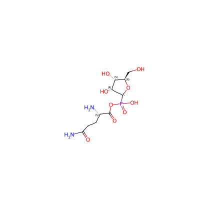 NC(=O)CC[C@H](N)C(=O)OP(=O)(O)[C]1O[C@H](CO)[C@@H](O)[C@H]1O